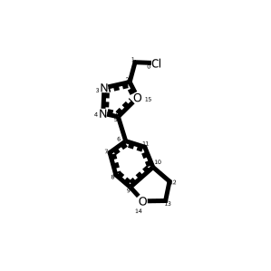 ClCc1nnc(-c2ccc3c(c2)CCO3)o1